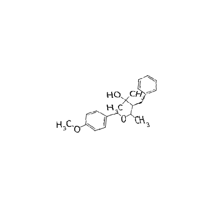 COc1ccc(COC(C)[C@H](Cc2ccccc2)C(C)(C)O)cc1